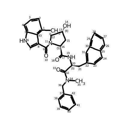 Cc1cccc2[nH]cc(C(=O)N3C[C@H](O)C[C@H]3C(=O)N[C@@H](Cc3ccc4ccccc4c3)C(=O)N(C)Cc3ccccc3)c12